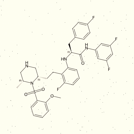 COc1ccccc1S(=O)(=O)N1[C@@H](CCc2c(F)cccc2N[C@@H](Cc2ccc(F)cc2)C(=O)Nc2cc(F)cc(F)c2)CNC[C@H]1C